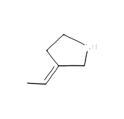 CC=C1[CH]NCC1